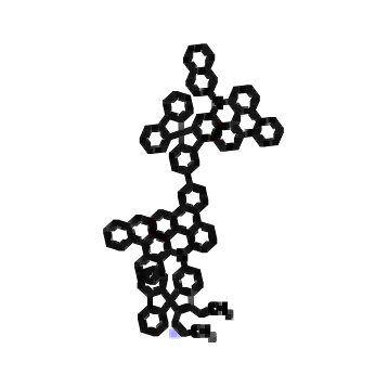 C=CC1=C(/C=C\C)C2(c3cc(N(c4cc5ccc6ccccc6c5c5ccccc45)c4cccc5c6ccc(-c7ccc8c(c7)-c7ccc(N(c9ccc%10ccccc%10c9)c9cccc%10c%11ccccc%11c%11ccccc%11c9%10)cc7C87c8ccccc8-c8ccccc87)cc6c6ccccc6c45)ccc31)c1ccccc1-c1ccccc12